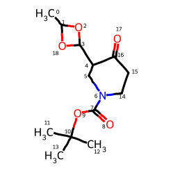 CC1OC(C2CN(C(=O)OC(C)(C)C)CCC2=O)O1